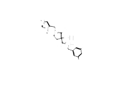 Cn1cncc1CN1CCC(O)(C(=O)NCc2cc(F)cc(Cl)c2)C1=O